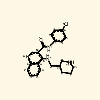 O=C(Nc1ccc(Cl)cc1)c1cnc2ccccc2c1NCC1CCCNC1